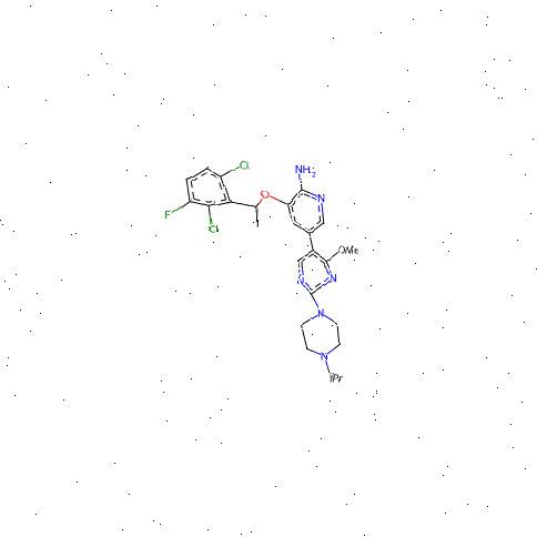 COc1nc(N2CCN(C(C)C)CC2)ncc1-c1cnc(N)c(OC(C)c2c(Cl)ccc(F)c2Cl)c1